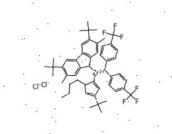 CCCCC1C=C(C(C)(C)C)C=[C]1[Zr+2](=[C](c1ccc(C(F)(F)F)cc1)c1ccc(C(F)(F)F)cc1)[CH]1c2cc(C)c(C(C)(C)C)cc2-c2cc(C(C)(C)C)c(C)cc21.[Cl-].[Cl-]